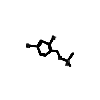 C[SiH](C)OCc1ccc(Br)cc1Br